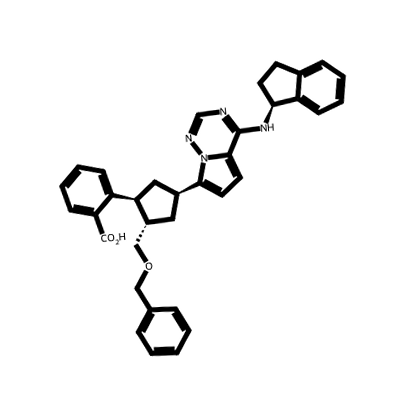 O=C(O)c1ccccc1[C@H]1C[C@@H](c2ccc3c(N[C@H]4CCc5ccccc54)ncnn23)C[C@@H]1COCc1ccccc1